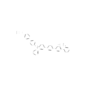 Cc1ccc(-c2ccc(-n3c4ccccc4c4cc(-c5ccc(-c6ccc(-c7ccccc7N)cc6)cc5)ccc43)cc2)cc1